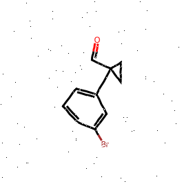 O=CC1(c2cccc(Br)c2)CC1